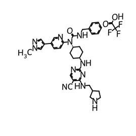 Cn1cc(-c2ccc(N(C(=O)NCc3ccccc3)[C@H]3CC[C@H](Nc4ncc(C#N)c(NCC5CCNC5)n4)CC3)nc2)cn1.O=C(O)C(F)(F)F